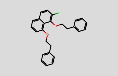 Clc1ccc2cccc(OCCc3ccccc3)c2c1OCCc1ccccc1